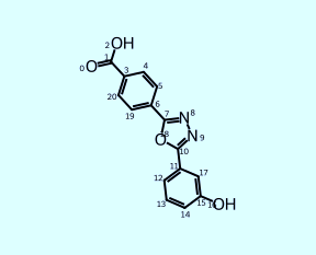 O=C(O)c1ccc(-c2nnc(-c3cccc(O)c3)o2)cc1